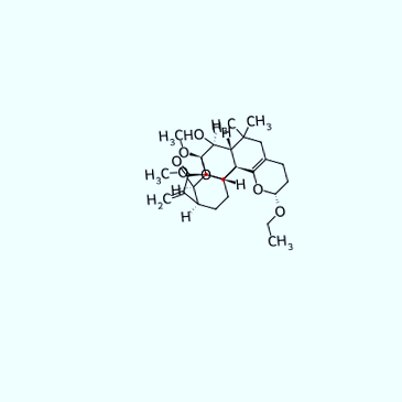 C=C1C(=O)[C@]23[C@H](OC)[C@H]1CC[C@H]2[C@@]12CO[C@@]3(OC)[C@@H](O)[C@@H]1C(C)(C)CC1=C2O[C@@H](OCC)CC1